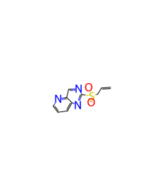 C=CCS(=O)(=O)c1ncc2ncccc2n1